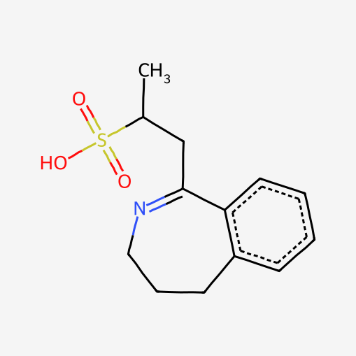 CC(CC1=NCCCc2ccccc21)S(=O)(=O)O